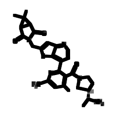 Cc1cc(C(F)(F)F)nc(-c2ccnc3cc(CN4C(=O)C5C(C4=O)C5(C)C)sc23)c1C(=O)N1CC[C@H](C(C)N)C1